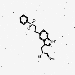 CC[C@@H](C=NC)Cc1c[nH]c2ccc(CCS(=O)(=O)c3ccccc3)cc12